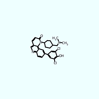 CN(C)CC1CCC(n2c(=O)ccc3cnc4ccc(-c5cc(Cl)c(O)c(Cl)c5)cc4c32)CC1